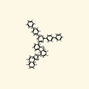 c1ccc(-c2ccc(-c3nc(-c4ccc(-c5ccccc5)cc4)nc(-c4cccc5c4oc4cccc(-c6nc7c(ccc8ccccc87)s6)c45)n3)cc2)cc1